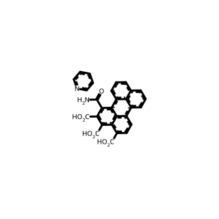 NC(=O)c1c(C(=O)O)c(C(=O)O)c2c(C(=O)O)ccc3c4cccc5cccc(c1c23)c54.c1ccncc1